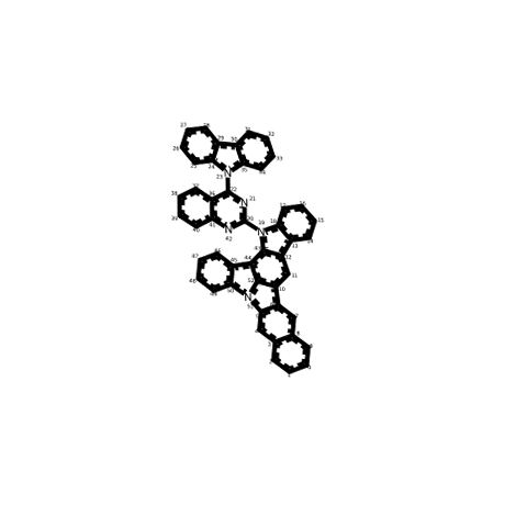 c1ccc2cc3c(cc2c1)c1cc2c4ccccc4n(-c4nc(-n5c6ccccc6c6ccccc65)c5ccccc5n4)c2c2c4ccccc4n3c12